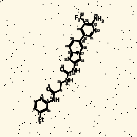 CCc1ccnc(NC(=O)CCNC(=O)Nc2cn3cc(-c4cnc(N)c(C(F)(F)F)c4)ccc3n2)c1